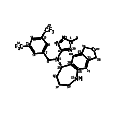 Cn1nnc(N(Cc2cc(C(F)(F)F)cc(C(F)(F)F)c2)[C@H]2CCCNc3cc4c(cc32)COC4)n1